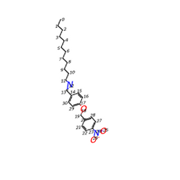 CCCCCCCCCCCCN=Cc1ccc(OCc2ccc([N+](=O)[O-])cc2)cc1